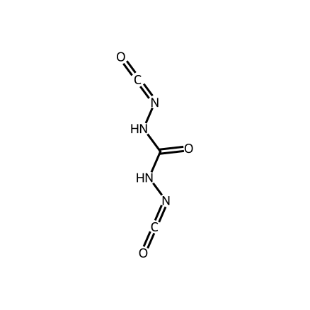 O=C=NNC(=O)NN=C=O